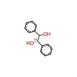 OC(c1ccccc1)[C@@H](O)c1ccccc1